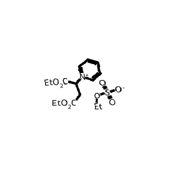 CCOC(=O)CC(C(=O)OCC)[n+]1ccccc1.CCOS(=O)(=O)[O-]